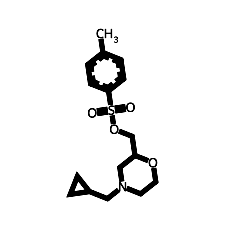 Cc1ccc(S(=O)(=O)OCC2CN(CC3CC3)CCO2)cc1